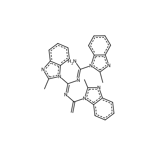 C=C(/N=C(\N=C(/N)n1c(C)nc2ccccc21)n1c(C)nc2ccccc21)n1c(C)nc2ccccc21